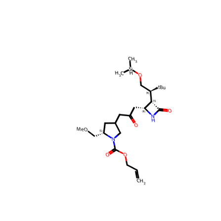 C=CCOC(=O)N1CC(CC(=O)C[C@H]2NC(=O)[C@H]2[C@@H](CO[SiH](C)C)C(C)(C)C)C[C@H]1COC